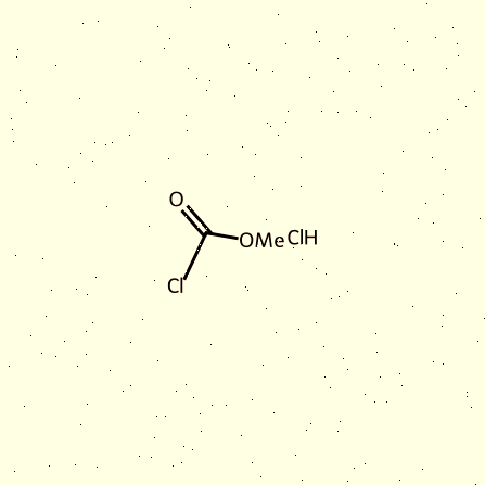 COC(=O)Cl.Cl